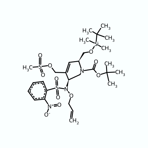 C=CCON([C@@H]1CN(C(=O)OC(C)(C)C)[C@H](CO[Si](C)(C)C(C)(C)C)C=C1COS(C)(=O)=O)S(=O)(=O)c1ccccc1[N+](=O)[O-]